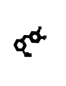 CC(C)(C)[C@@H]1CCCN(Cc2ccc(F)c(F)c2)C1